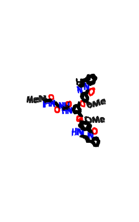 CNCC(=O)NCC(=O)NCC(=O)Nc1cc(COc2cc3c(cc2OC)C(=O)N2c4ccccc4C[C@H]2C=N3)cc(COc2cc3c(cc2OC)C(=O)N2c4ccccc4CC2CN3)c1